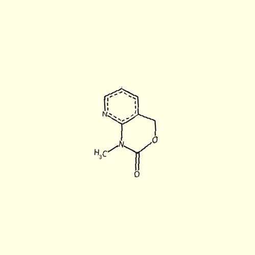 CN1C(=O)OCc2c[c]cnc21